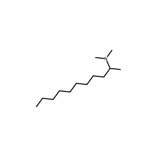 CCCCCCCCCC(C)N(C)C